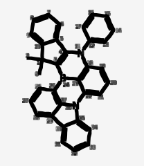 CC1(C)C2=C(c3ccccc31)N(c1ccccc1)c1cccc3c1B2c1cccc2c4ccccc4n-3c12